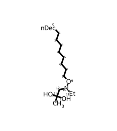 CCCCCCCCCCCCCCCCCCON(CC)CC(C)(O)O